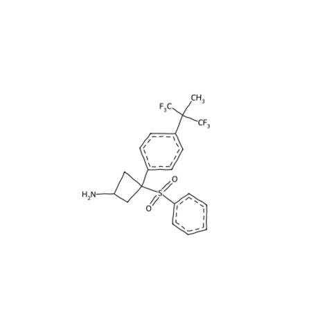 CC(c1ccc(C2(S(=O)(=O)c3ccccc3)CC(N)C2)cc1)(C(F)(F)F)C(F)(F)F